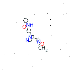 C=CC(=O)N1CCC(c2cc(-c3ccc(C(=O)Nc4ccccc4)cc3)n3cnccc23)C1